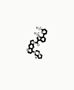 Cc1cccc(-c2cccc3c(C(=O)N4CCc5cc6nccc(N7CCN8CCC[C@H]8C7)c6cc54)cn(C)c23)n1